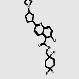 O=C(NCC1(O)CCC(F)(F)CC1)c1c(Cl)ccc2nc(C3CCC(N4CCC4)C3)ccc12